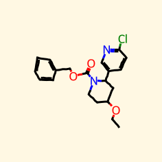 CCOC1CCN(C(=O)OCc2ccccc2)C(c2ccc(Cl)nc2)C1